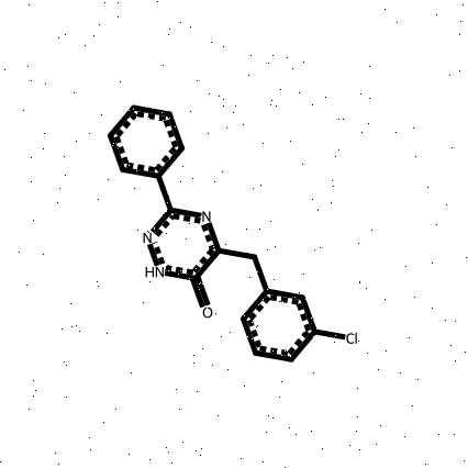 O=c1[nH]nc(-c2ccccc2)nc1Cc1cccc(Cl)c1